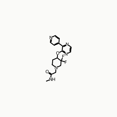 CNC(=O)CN1CCC(Oc2nccnc2-c2ccncc2)C(F)(F)C1